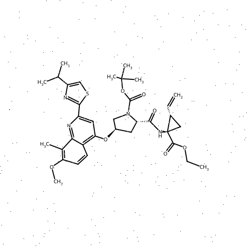 C=C[C@@H]1C[C@]1(NC(=O)[C@@H]1C[C@@H](Oc2cc(-c3nc(C(C)C)cs3)nc3c(C)c(OC)ccc23)CN1C(=O)OC(C)(C)C)C(=O)OCC